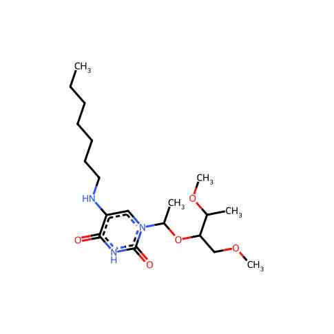 CCCCCCCNc1cn(C(C)OC(COC)C(C)OC)c(=O)[nH]c1=O